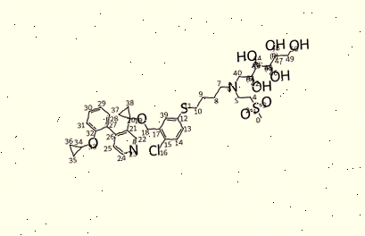 CS(=O)(=O)CCN(CCCCSc1ccc(Cl)c(COC2(c3cnccc3-c3ccccc3OC3CC3)CC2)c1)C[C@H](O)[C@@H](O)[C@H](O)[C@H](O)CO